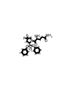 NC(=O)CC[C@H](N)C(=O)N1CC(F)(F)C[C@@H]1P(=O)(Oc1ccccc1)Oc1ccccc1